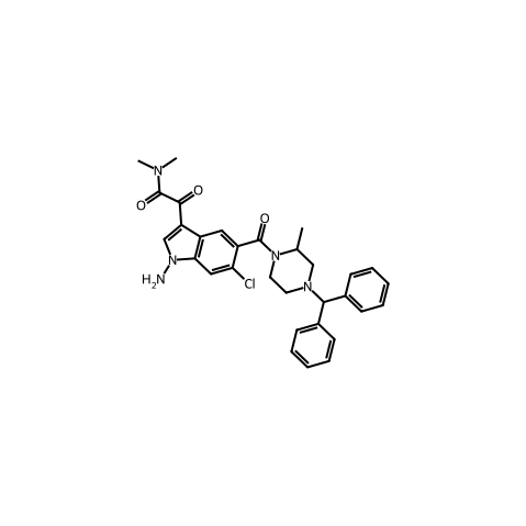 CC1CN(C(c2ccccc2)c2ccccc2)CCN1C(=O)c1cc2c(C(=O)C(=O)N(C)C)cn(N)c2cc1Cl